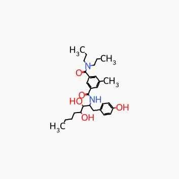 CCCCC(O)C(O)C(Cc1ccc(O)cc1)NC(=O)c1cc(C)cc(C(=O)N(CCC)CCC)c1